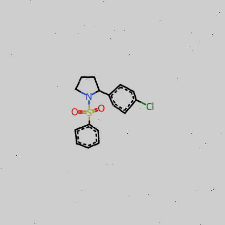 O=S(=O)(c1ccccc1)N1CCCC1c1ccc(Cl)cc1